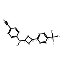 CN(c1ccc(C#N)cc1)C1CC(c2ccc(C(F)(F)F)cc2)C1